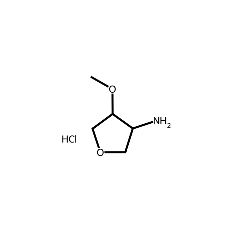 COC1COCC1N.Cl